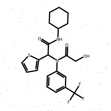 O=C(NC1CCCCC1)C(c1cccs1)N(C(=O)CO)c1cccc(C(F)(F)F)c1